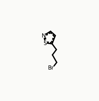 BrCCCc1ccns1